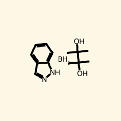 B.CC(C)(O)C(C)(C)O.c1ccc2[nH]ncc2c1